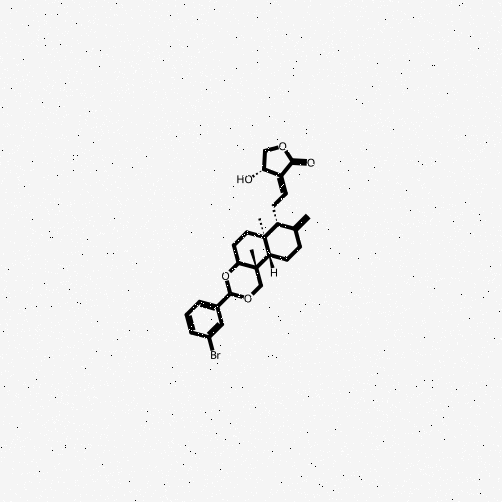 C=C1CC[C@H]2[C@@](C)(CCC3OC(c4cccc(Br)c4)OC[C@]32C)[C@@H]1C/C=C1/C(=O)OC[C@H]1O